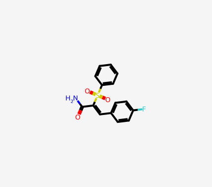 NC(=O)C(=Cc1ccc(F)cc1)S(=O)(=O)c1ccccc1